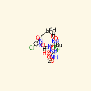 C[C@@H]1[C@@H]2CN(C(=O)[C@H](C(C)(C)C)NC(=O)O[C@@H]3C[C@@H]4C=C=C4[C@H]3CC/C=C/Cn3c(nc4cc(Cl)ccc4c3=O)O2)[C@@H]1C(O)N[C@]1(C(=O)NS(=O)(=O)C2(C)CC2)C[C@H]1C(F)F